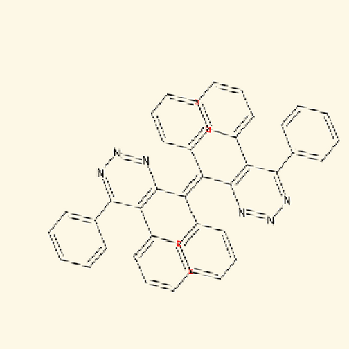 c1ccc(C(=C(c2ccccc2)c2nnnc(-c3ccccc3)c2-c2ccccc2)c2nnnc(-c3ccccc3)c2-c2ccccc2)cc1